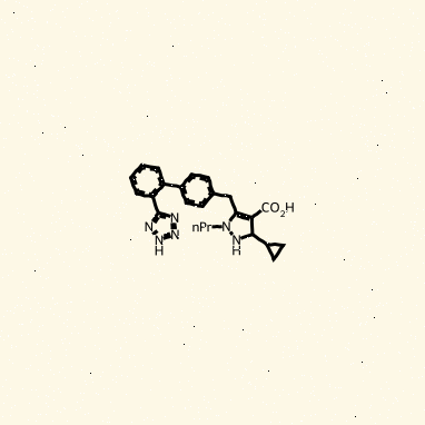 CCCN1NC(C2CC2)C(C(=O)O)=C1Cc1ccc(-c2ccccc2-c2nn[nH]n2)cc1